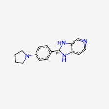 c1cc2c(cn1)N[C@H](c1ccc(N3CCCC3)cc1)N2